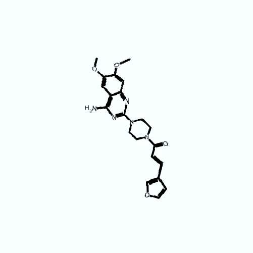 COc1cc2nc(N3CCN(C(=O)C=Cc4ccoc4)CC3)nc(N)c2cc1OC